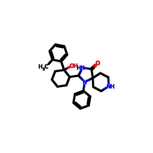 Cc1ccccc1C1(O)CCCCC1C1NC(=O)C2(CCNCC2)N1c1ccccc1